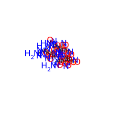 CCP(=O)(OC[C@@H]1CN(P(=O)(OC[C@@H]2CN(P(=O)(OC[C@@H]3CN(P(=O)(OC[C@@H]4CN(P(=O)(OC[C@@H]5CN(P(=O)(OC[C@@H]6CN(P(=O)(OC[C@@H]7CN(C(C)C)C[C@H](n8cnc9c(N)ncnc98)O7)N(C)C)C[C@H](C)O6)N(C)C)C[C@H](n6cnc7c(=O)[nH]c(N)nc76)O5)N(C)C)C[C@H](n5cnc6c(N)ncnc65)O4)N(C)C)C[C@H](C)O3)N(C)C)C[C@H](n3ccc(N)nc3=O)O2)N(C)C)C[C@H](C)O1)N(C)C